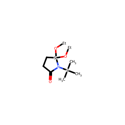 CCO[Si]1(OCC)CCC(=O)N1[Si](C)(C)C